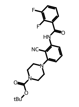 CC(C)(C)OC(=O)N1CCN(c2cccc(NC(=O)c3cccc(F)c3F)c2C#N)CC1